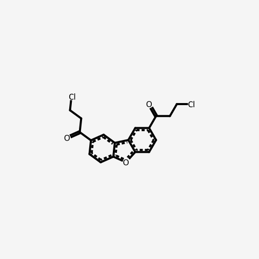 O=C(CCCl)c1ccc2oc3ccc(C(=O)CCCl)cc3c2c1